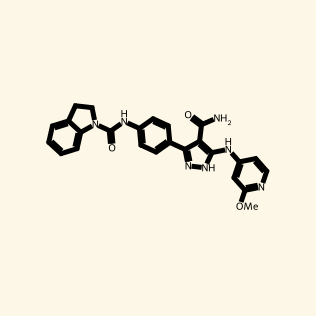 COc1cc(Nc2[nH]nc(-c3ccc(NC(=O)N4CCc5ccccc54)cc3)c2C(N)=O)ccn1